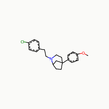 COc1ccc(C23CCC(C2)N(CCc2ccc(Cl)cc2)CC3)cc1